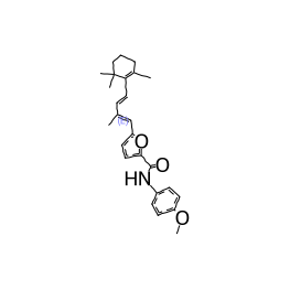 COc1ccc(NC(=O)c2ccc(/C=C(\C)C=CC3=C(C)CCCC3(C)C)o2)cc1